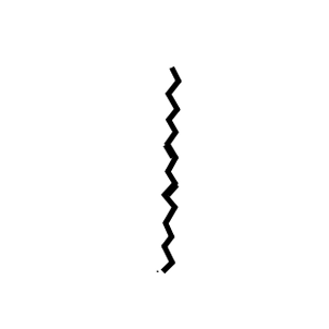 [CH2]CCCCC/C=C/C/C=C/CCCCCC